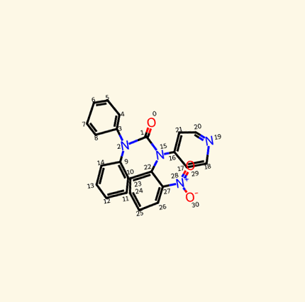 O=C(N(c1ccccc1)c1ccccc1)N(c1ccncc1)c1ccccc1[N+](=O)[O-]